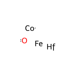 [Co].[Fe].[Hf].[O]